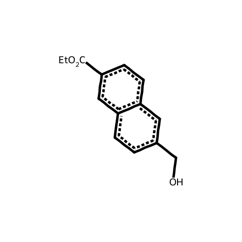 CCOC(=O)c1ccc2cc(CO)ccc2c1